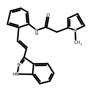 Cn1cccc1CC(=O)Nc1ccccc1C=Cc1n[nH]c2ccccc12